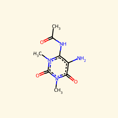 CC(=O)Nc1c(N)c(=O)n(C)c(=O)n1C